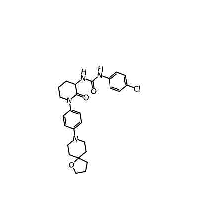 O=C(Nc1ccc(Cl)cc1)NC1CCCN(c2ccc(N3CCC4(CCCO4)CC3)cc2)C1=O